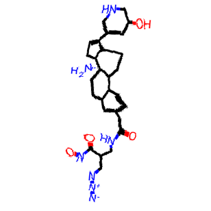 [N-]=[N+]=NCC(CNC(=O)C1=CC2CC[C@@]3(N)C4CC=C(C5=CC(O)CNC5)C4CCC3C2C=C1)C(=O)N=O